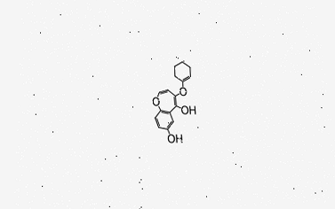 OC1=C(OC2=CCCCC2)C=COc2ccc(O)cc21